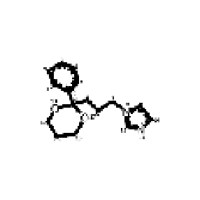 c1ccc(C2(CCCn3ccnc3)OCCCO2)cc1